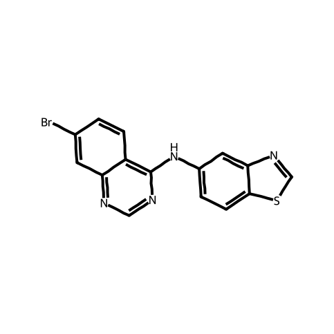 Brc1ccc2c(Nc3ccc4scnc4c3)ncnc2c1